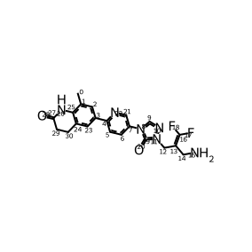 Cc1cc(-c2ccc(-n3cnn(CC(CN)=C(F)F)c3=O)cn2)cc2c1NC(=O)CC2